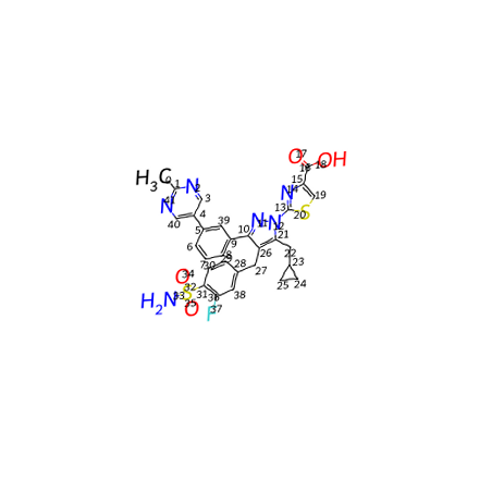 Cc1ncc(-c2cccc(-c3nn(-c4nc(C(=O)O)cs4)c(CC4CC4)c3Cc3ccc(S(N)(=O)=O)c(F)c3)c2)cn1